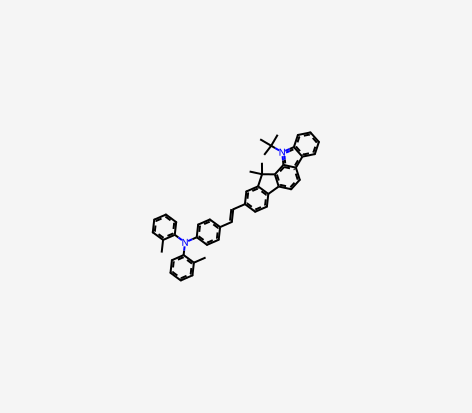 Cc1ccccc1N(c1ccc(/C=C/c2ccc3c(c2)C(C)(C)c2c-3ccc3c4ccccc4n(C(C)(C)C)c23)cc1)c1ccccc1C